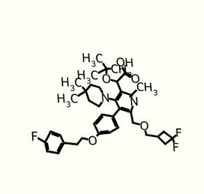 Cc1nc(COCC2CC(F)(F)C2)c(-c2ccc(OCCc3ccc(F)cc3)cc2)c(N2CCC(C)(C)CC2)c1C(OC(C)(C)C)C(=O)O